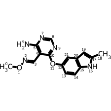 CON=Cc1c(N)ncnc1Oc1ccc2[nH]c(C)cc2c1